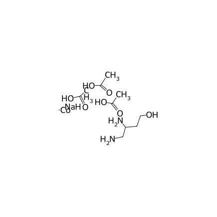 CC(=O)O.CC(=O)O.CC(=O)O.NCC(N)CCO.[Co].[NaH]